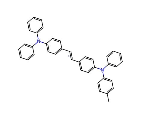 Cc1ccc(N(c2ccccc2)c2ccc(/C=C/c3ccc(N(c4ccccc4)c4ccccc4)cc3)cc2)cc1